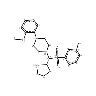 COc1ccccc1N1CCN([C@@H](C2CCCN2)S(=O)(=O)c2cccc(C)c2)CC1